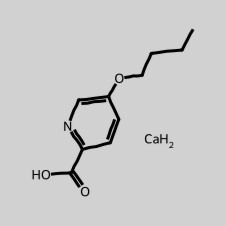 CCCCOc1ccc(C(=O)O)nc1.[CaH2]